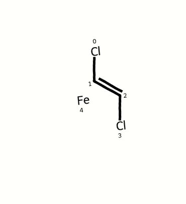 ClC=CCl.[Fe]